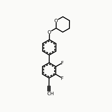 C#Cc1ccc(-c2ccc(OC3CCCCO3)cc2)c(F)c1F